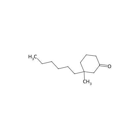 CCCCCCC1(C)CCCC(=O)C1